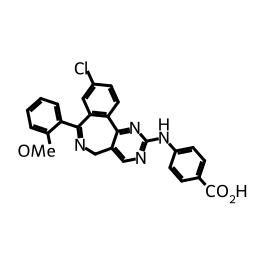 COc1ccccc1C1=NCc2cnc(Nc3ccc(C(=O)O)cc3)nc2-c2ccc(Cl)cc21